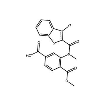 COC(=O)c1ccc(C(=O)O)cc1N(C)C(=O)c1sc2ccccc2c1Cl